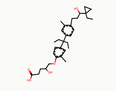 CCC(CC)(c1ccc(CCC(O)C2(CC)CC2)c(C)c1)c1ccc(OCC(O)CCC(=O)O)c(C)c1